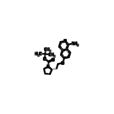 CC(C)(C)OC(=O)N1CCC[C@H]1CCOc1ccc2c(N)nccc2c1